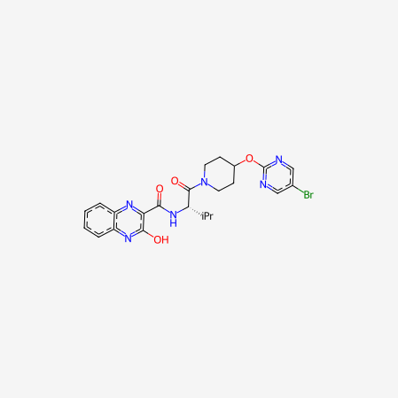 CC(C)[C@H](NC(=O)c1nc2ccccc2nc1O)C(=O)N1CCC(Oc2ncc(Br)cn2)CC1